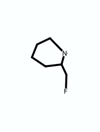 FCC1CCCC[N]1